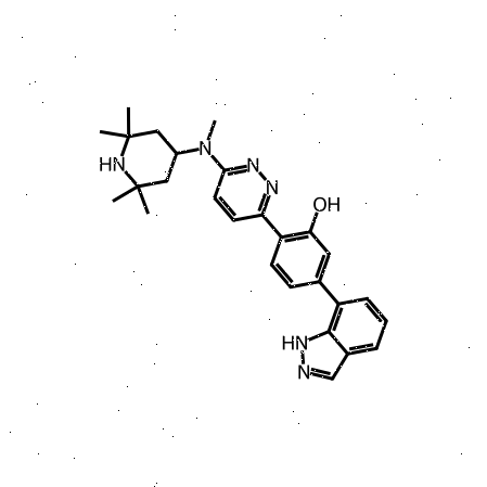 CN(c1ccc(-c2ccc(-c3cccc4cn[nH]c34)cc2O)nn1)C1CC(C)(C)NC(C)(C)C1